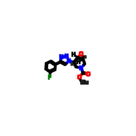 CC(C)(C)OC(=O)N1C[C@@H](n2cc(-c3cccc(F)c3)nn2)[C@H]2O[C@@H]2C1